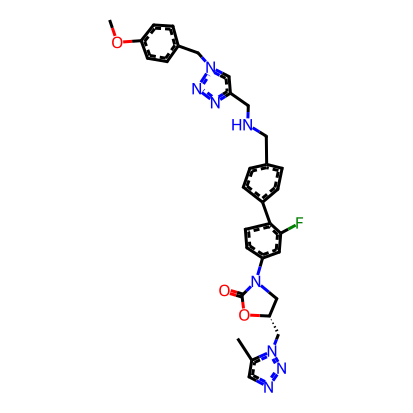 COc1ccc(Cn2cc(CNCc3ccc(-c4ccc(N5C[C@H](Cn6nncc6C)OC5=O)cc4F)cc3)nn2)cc1